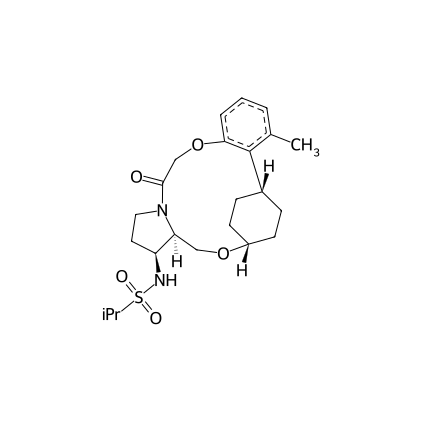 Cc1cccc2c1[C@H]1CC[C@H](CC1)OC[C@H]1[C@@H](NS(=O)(=O)C(C)C)CCN1C(=O)CO2